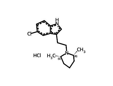 C[C@@H]1CCC[C@H](C)N1CCc1c[nH]c2ccc(Cl)cc12.Cl